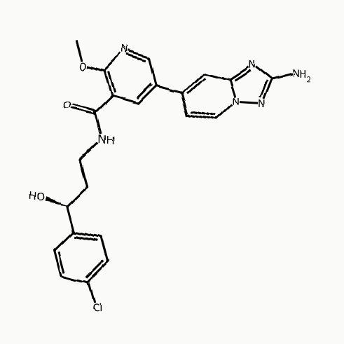 COc1ncc(-c2ccn3nc(N)nc3c2)cc1C(=O)NCC[C@H](O)c1ccc(Cl)cc1